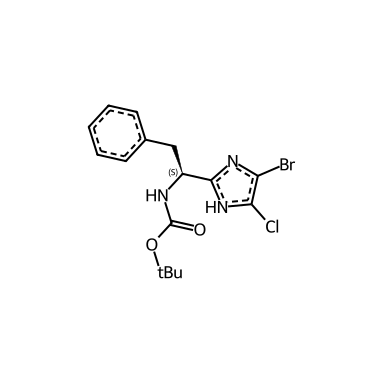 CC(C)(C)OC(=O)N[C@@H](Cc1ccccc1)c1nc(Br)c(Cl)[nH]1